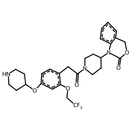 O=C(Cc1ccc(OC2CCNCC2)cc1OCC(F)(F)F)N1CCC(N2C(=O)OCc3ccccc32)CC1